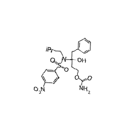 CC(C)CN(C(O)(CCOC(N)=O)Cc1ccccc1)S(=O)(=O)c1ccc([N+](=O)[O-])cc1